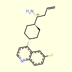 C=CC[C@@H](N)[C@H]1CC[C@H](c2ccnc3ccc(F)cc32)CC1